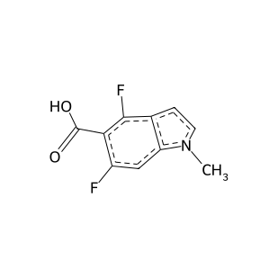 Cn1ccc2c(F)c(C(=O)O)c(F)cc21